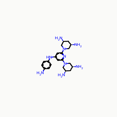 Nc1ccc(Nc2cc(N3C[C@H](N)C[C@H](N)C3)nc(N3C[C@H](N)C[C@H](N)C3)c2)cc1